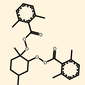 [CH2]C1CCC([CH2])(OOC(=O)c2c(C)cccc2C)C(OOC(=O)c2c(C)cccc2C)C1